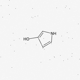 Oc1[c]c[nH]c1